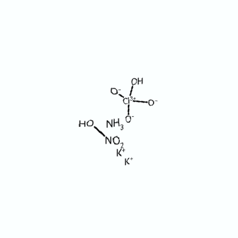 N.O=[N+]([O-])O.[K+].[K+].[O-][Cl+3]([O-])([O-])O